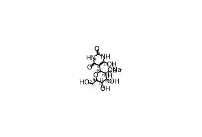 O=c1[nH]c(O)c([C@@H]2O[C@H](CO)[C@@H](O)[C@H](O)[C@H]2O)c(=O)[nH]1.[Na]